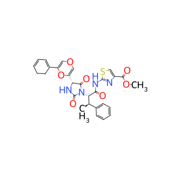 COC(=O)c1csc(NC(=O)[C@H]([C@H](C)c2ccccc2)N2C(=O)N[C@H](C3=COC=C(C4=CC=CCC4)O3)C2=O)n1